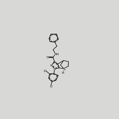 O=C(NCCc1ccccc1)c1nn(-c2ccc(Cl)cc2Cl)c2c1C1CC[C@@H]2C1